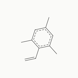 C=Cc1c(C)cc(C)cc1C